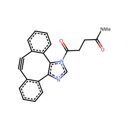 CNC(=O)CCC(=O)n1cnc2c1-c1ccccc1C#Cc1ccccc1-2